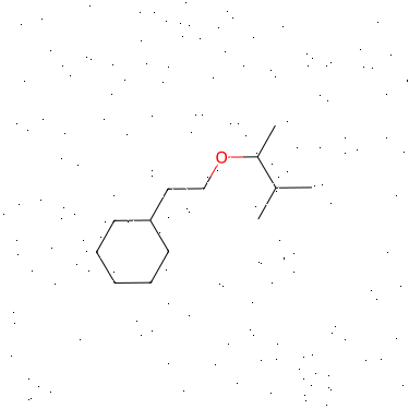 CC(C)C(C)OCCC1CCCCC1